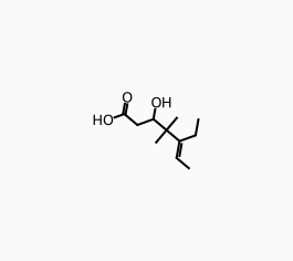 C/C=C(\CC)C(C)(C)C(O)CC(=O)O